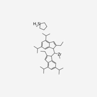 C1CC[SiH2]C1.CCC1=Cc2c(C(C)C)cc(C(C)C)cc2C1[CH]([Zr][CH3])C1C(CC)=Cc2c(C(C)C)cc(C(C)C)cc21